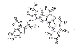 COC1=NC(=O)NC(=O)/C1=c1\o/c(=c2\s/c(=c3\sc(=C/C(OC)=C4/Sc5cc6c(cc5N4CC(=O)O)OCO6)c(=O)n3CC(=O)O)c(=O)n2CC(=O)O)c(=O)n1CC(=O)O